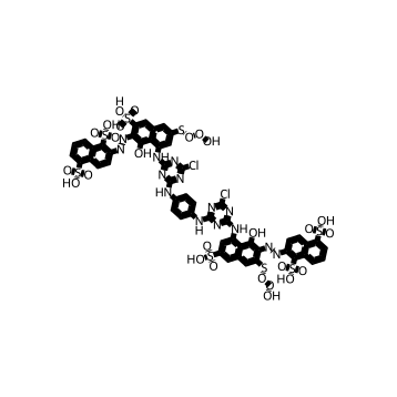 O=S(=O)(O)c1cc(Nc2nc(Cl)nc(Nc3ccc(Nc4nc(Cl)nc(Nc5cc(SOOO)cc6cc(S(=O)(=O)O)c(N=Nc7ccc8c(S(=O)(=O)O)cccc8c7S(=O)(=O)O)c(O)c56)n4)cc3)n2)c2c(O)c(N=Nc3ccc4c(S(=O)(=O)O)cccc4c3S(=O)(=O)O)c(SOOO)cc2c1